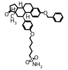 C[C@]12C[C@H](c3ccc(OCCCCCS(N)(=O)=O)cc3)[C@@H]3c4ccc(OCc5ccccc5)cc4CC[C@H]3[C@@H]1CCC2=O